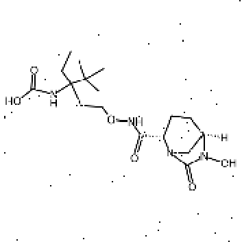 CCC(CCONC(=O)[C@@H]1CC[C@@H]2CN1C(=O)N2O)(NC(=O)O)C(C)(C)C